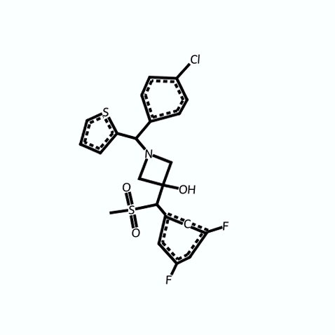 CS(=O)(=O)C(c1cc(F)cc(F)c1)C1(O)CN(C(c2ccc(Cl)cc2)c2cccs2)C1